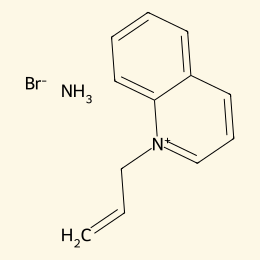 C=CC[n+]1cccc2ccccc21.N.[Br-]